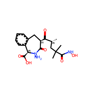 C[C@H](CC(C)(C)C(=O)NO)C(=O)[C@@H]1Cc2ccccc2[C@H](C(=O)O)N(N)C1=O